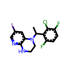 CC(c1c(F)ccc(F)c1Cl)N1CCNc2ncc(I)cc21